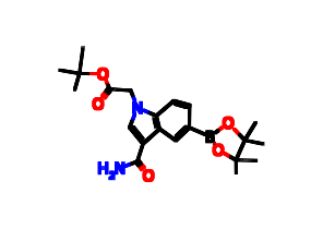 CC(C)(C)OC(=O)Cn1cc(C(N)=O)c2cc(B3OC(C)(C)C(C)(C)O3)ccc21